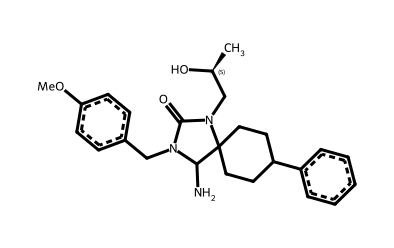 COc1ccc(CN2C(=O)N(C[C@H](C)O)C3(CCC(c4ccccc4)CC3)C2N)cc1